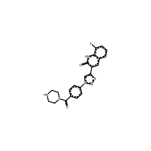 O=C(c1ccc(-n2cc(-c3cc4cccc(F)c4[nH]c3=O)nn2)cc1)N1CCNCC1